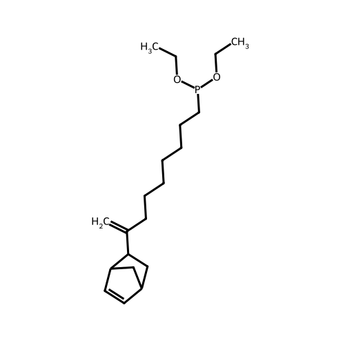 C=C(CCCCCCCP(OCC)OCC)C1CC2C=CC1C2